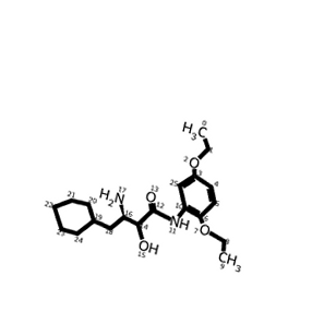 CCOc1ccc(OCC)c(NC(=O)C(O)[C@H](N)CC2CCCCC2)c1